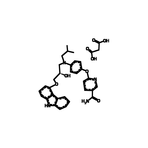 CC(C)CN(C[C@H](O)COc1cccc2[nH]c3ccccc3c12)c1ccc(Oc2ccc(C(N)=O)cn2)cc1.O=C(O)CC(=O)O